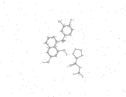 COc1cc(OC[C@@H]2CCCN2C(=O)CN(C)C)c2c(Nc3ccc(F)c(Cl)c3)ncnc2c1